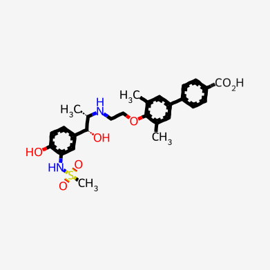 Cc1cc(-c2ccc(C(=O)O)cc2)cc(C)c1OCCN[C@@H](C)[C@H](O)c1ccc(O)c(NS(C)(=O)=O)c1